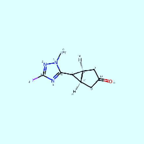 CC(C)n1nc(I)nc1C1[C@H]2CC(=O)C[C@@H]12